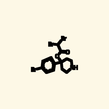 O=C(OC1(c2ccc(Br)cc2)CCNCC1)C(Br)Br